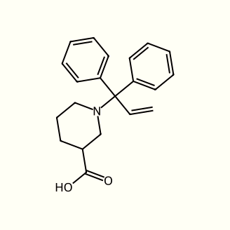 C=CC(c1ccccc1)(c1ccccc1)N1CCCC(C(=O)O)C1